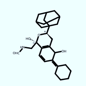 O=CNC[C@@]1(O)O[C@@H](C23CC4CC(CC(C4)C2)C3)CC2=C1C=CC(=C1CCCCC1)C2O